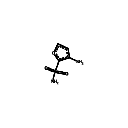 Nc1ccoc1S(N)(=O)=O